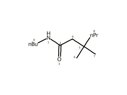 CCCCNC(=O)CC(C)(C)CCC